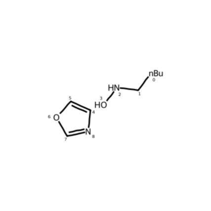 CCCCCNO.c1cocn1